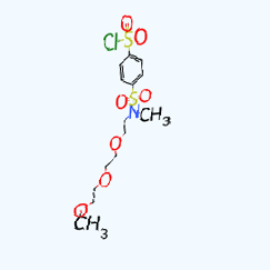 COCCOCCOCCN(C)S(=O)(=O)c1ccc(S(=O)(=O)Cl)cc1